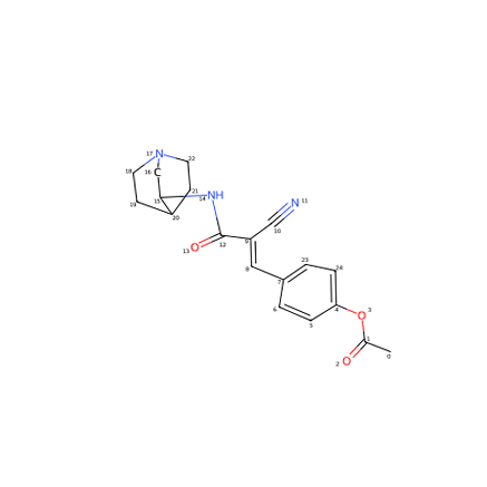 CC(=O)Oc1ccc(C=C(C#N)C(=O)NC2CN3CCC2CC3)cc1